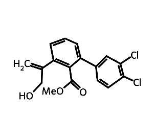 C=C(CO)c1cccc(-c2ccc(Cl)c(Cl)c2)c1C(=O)OC